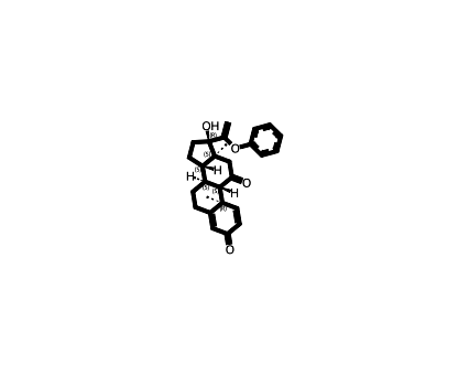 C=C(Oc1ccccc1)[C@@]1(O)CC[C@H]2[C@@H]3CCC4=CC(=O)C=C[C@]4(C)[C@H]3C(=O)C[C@@]21C